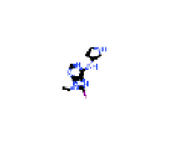 CCn1c(I)nc2c(N[C@H]3CCNC3)ncnc21